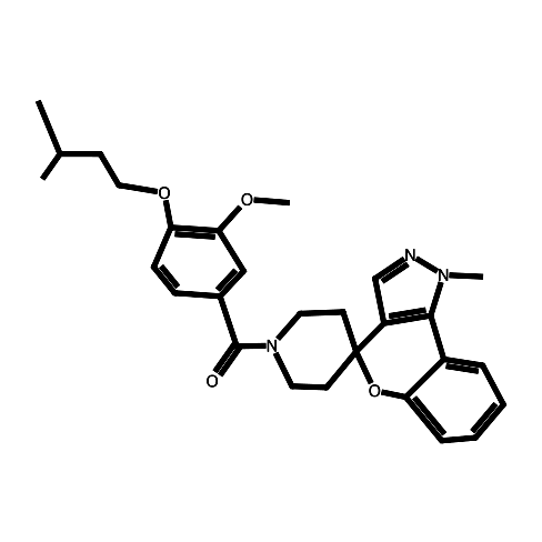 COc1cc(C(=O)N2CCC3(CC2)Oc2ccccc2-c2c3cnn2C)ccc1OCCC(C)C